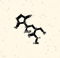 CC(=O)CN(C[C@@H](C(=O)O)N1C(=O)C=CC1=O)C(=O)OC(C)(C)C